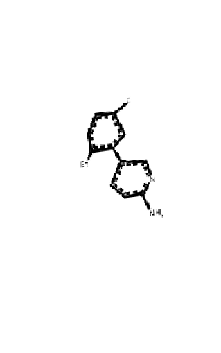 CCc1ccc(F)cc1-c1ccc(N)nc1